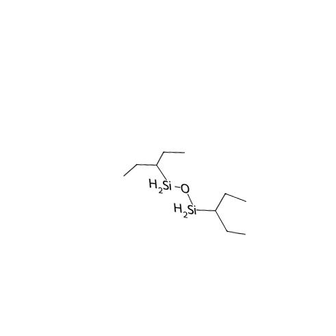 CCC(CC)[SiH2]O[SiH2]C(CC)CC